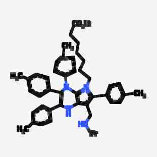 CCOC(=O)CCCCCCn1c(-c2ccc(C)cc2)c(CNC(C)C)c2c1N(c1ccc(C)cc1)C(c1ccc(C)cc1)=C(c1ccc(C)cc1)N2